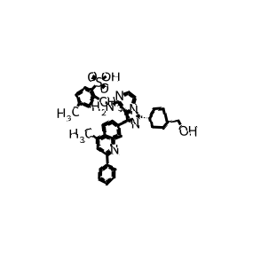 Cc1cc(-c2ccccc2)nc2cc(-c3nc([C@H]4CC[C@H](CO)CC4)n4ccnc(N)c34)ccc12.Cc1ccc(S(=O)(=O)O)c(C)c1